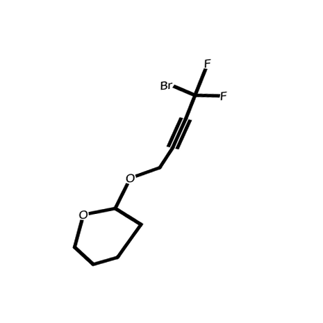 FC(F)(Br)C#CCOC1CCCCO1